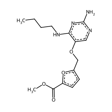 CCCCNc1nc(N)ncc1OCc1ccc(C(=O)OC)o1